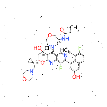 C#Cc1c(F)ccc2cc(O)cc(-c3ncc4c(N5CCOC[C@@H](NC(=O)C=C)C5)c5c(nc4c3F)O[C@H](C3(CN4CCOCC4)CC3)C[C@@]5(C)O)c12